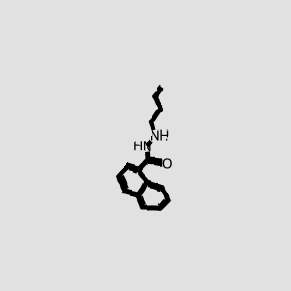 CCCCNNC(=O)c1cccc2ccccc12